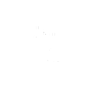 COC(=O)c1c[c]ccc1SC(=O)N(C)C